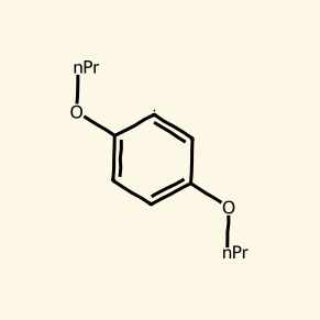 CCCOc1[c]cc(OCCC)cc1